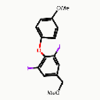 COCc1cc(I)c(Oc2ccc(OC)cc2)c(I)c1